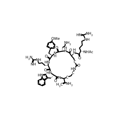 C=C(N)C1CCCNC(=O)CC[C@H](NC(=O)[C@H](CCCNC(=N)N)NC(C)=O)C(=O)N[C@@H](CCN)C(=O)N[C@H](Cc2ccc(OC)cc2)C(=O)N[C@@H](CCCNC(=N)N)C(=O)N[C@@H](Cc2c[nH]c3ccccc23)C(=O)N1